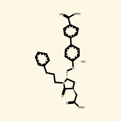 CNC(=N)c1ccc(-c2ccc(OC[C@@H]3C[C@@H](CC(=O)NC)C(=O)N3CCCc3ccccc3)cc2)cc1.Cl